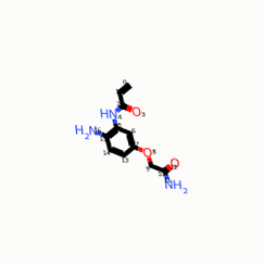 C=CC(=O)Nc1cc(OCC(N)=O)ccc1N